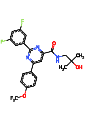 CC(C)(O)CNC(=O)c1cc(-c2ccc(OC(F)(F)F)cc2)nc(-c2cc(F)cc(F)c2)n1